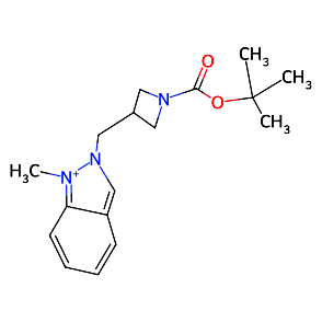 C[n+]1c2ccccc2cn1CC1CN(C(=O)OC(C)(C)C)C1